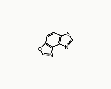 c1nc2c(ccc3scnc32)o1